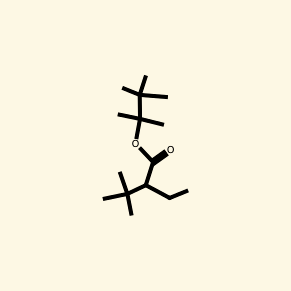 CCC(C(=O)OC(C)(C)C(C)(C)C)C(C)(C)C